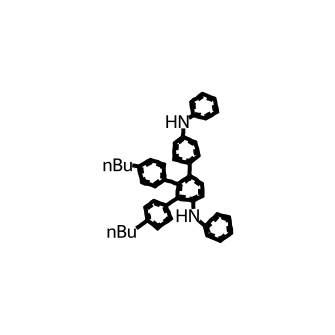 CCCCc1ccc(-c2c(Nc3ccccc3)ccc(-c3ccc(Nc4ccccc4)cc3)c2-c2ccc(CCCC)cc2)cc1